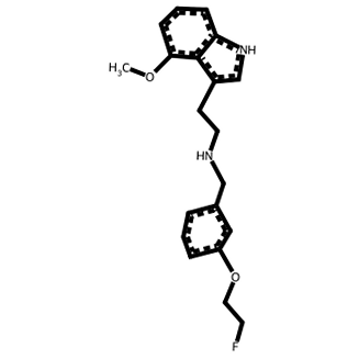 COc1cccc2[nH]cc(CCNCc3cccc(OCCF)c3)c12